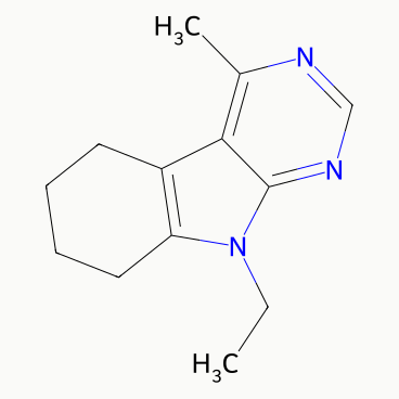 CCn1c2c(c3c(C)ncnc31)CCCC2